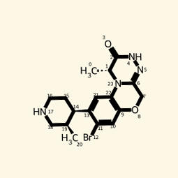 C[C@@H]1C(=O)NN=C2COc3cc(Br)c([C@@H]4CCNC[C@@H]4C)cc3N21